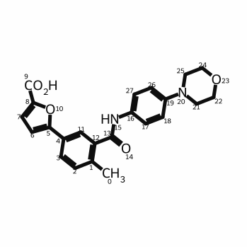 Cc1ccc(-c2ccc(C(=O)O)o2)cc1C(=O)Nc1ccc(N2CCOCC2)cc1